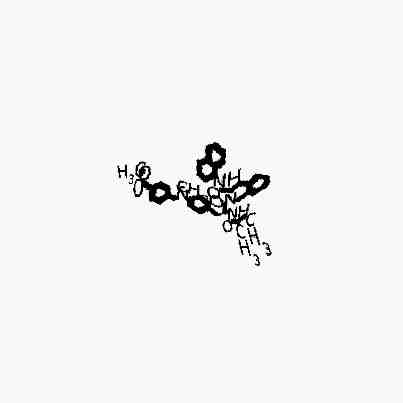 CC[C@@H](C)C(=O)N[C@@H](Cc1ccc(N(C)Cc2ccc(C(=O)OC)cc2)cc1)C(=O)N1Cc2ccccc2CC1C(=O)N[C@@H]1CCCc2ccccc21